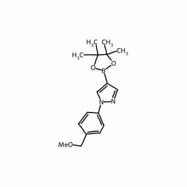 COCc1ccc(-n2cc(B3OC(C)(C)C(C)(C)O3)cn2)cc1